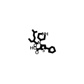 CCC(CCC(C)C)C(=O)N(c1cc(C2=CCCCC2)sc1C(=O)O)C1CCNCC1